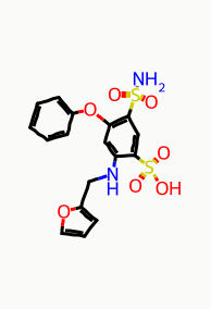 NS(=O)(=O)c1cc(S(=O)(=O)O)c(NCc2ccco2)cc1Oc1ccccc1